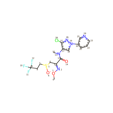 CO/N=C(\C[S+]([O-])CCC(F)(F)F)C(=O)N(C)c1cn(-c2cccnc2)nc1Cl